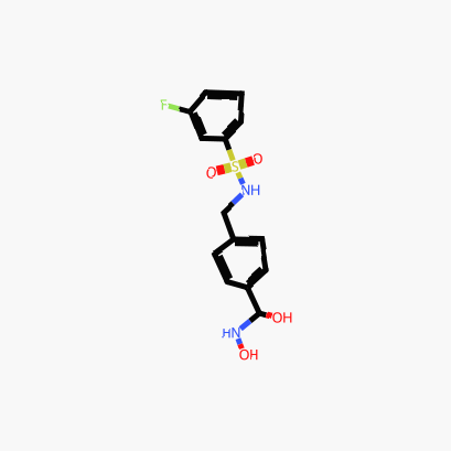 O=S(=O)(NCc1ccc(C(O)NO)cc1)c1cccc(F)c1